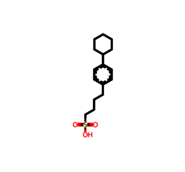 O=S(=O)(O)CCCCc1ccc(C2CCCCC2)cc1